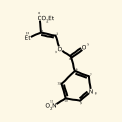 CCOC(=O)C(=COC(=O)c1cncc([N+](=O)[O-])c1)CC